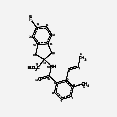 C/C=C/c1c(C)cccc1C(=O)NC1(C(=O)OCC)Cc2ccc(F)cc2C1